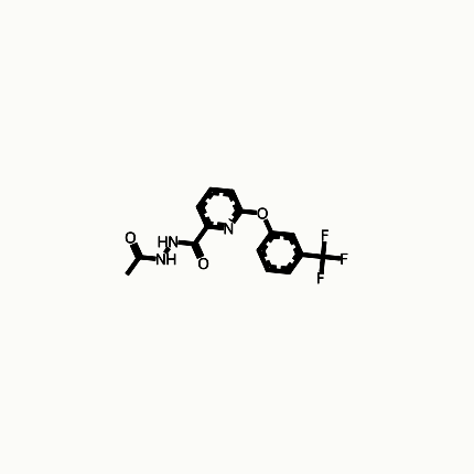 CC(=O)NNC(=O)c1cccc(Oc2cccc(C(F)(F)F)c2)n1